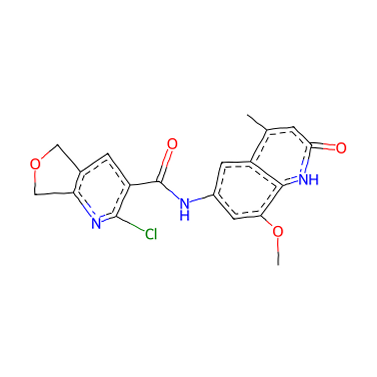 COc1cc(NC(=O)c2cc3c(nc2Cl)COC3)cc2c(C)cc(=O)[nH]c12